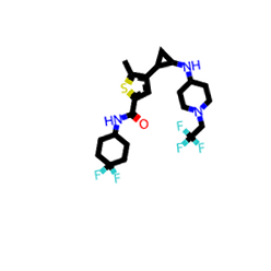 Cc1sc(C(=O)NC2CCC(F)(F)CC2)cc1C1CC1NC1CCN(CC(F)(F)F)CC1